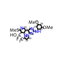 COc1cc(Nc2ncc(-c3cnc(SC)c(C(=O)O)c3)c(-n3ccc(C(F)(F)F)n3)n2)cc(OC)c1